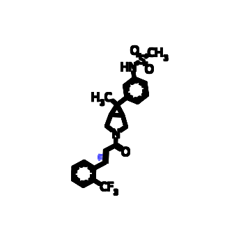 CC1(c2cccc(NS(C)(=O)=O)c2)C2CN(C(=O)/C=C/c3ccccc3C(F)(F)F)CC21